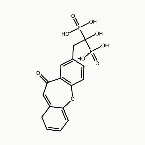 O=C1C=C2CC=CC=C2Oc2ccc(CC(O)(P(=O)(O)O)P(=O)(O)O)cc21